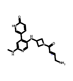 CNc1cc(-c2ccc(=O)[nH]c2)c(NC2CN(C(=O)/C=C/CN)C2)cn1